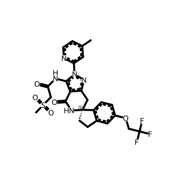 Cc1ccnc(-n2nc3c(c2NC(=O)CS(C)(=O)=O)C(=O)N[C@@]2(CCc4cc(OCC(F)(F)F)ccc42)C3)c1